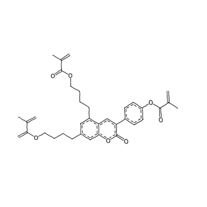 C=C(C)C(=C)OCCCCc1cc(CCCCOC(=O)C(=C)C)c2cc(-c3ccc(OC(=O)C(=C)C)cc3)c(=O)oc2c1